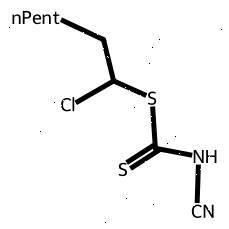 CCCCCCC(Cl)SC(=S)NC#N